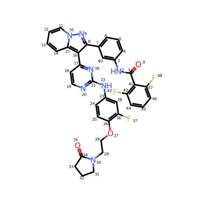 O=C(Nc1cccc(-c2nn3ccccc3c2-c2ccnc(Nc3ccc(OCCN4CCCC4=O)c(F)c3)n2)c1)c1c(F)cccc1F